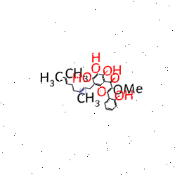 COc1c(-c2ccccc2O)oc2c(C/C=C(\C)CCC=C(C)C)c(O)c(O)c(O)c2c1=O